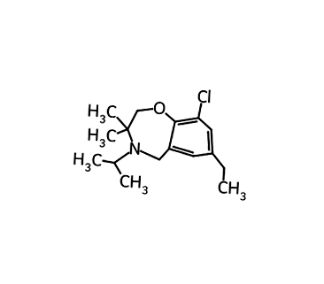 CCc1cc(Cl)c2c(c1)CN(C(C)C)C(C)(C)CO2